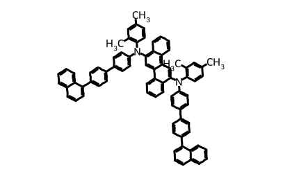 Cc1ccc(N(c2ccc(-c3ccc(-c4cccc5ccccc45)cc3)cc2)c2cc3c4ccccc4c(N(c4ccc(-c5ccc(-c6cccc7ccccc67)cc5)cc4)c4ccc(C)cc4C)cc3c3ccccc23)c(C)c1